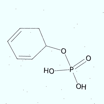 O=P(O)(O)OC1C=CC=CC1